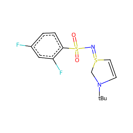 CC(C)(C)N1C=C/S(=N/S(=O)(=O)c2ccc(F)cc2F)C1